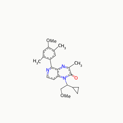 COCC(C1CC1)n1c(=O)c(C)nc2c(-c3cc(C)c(OC)cc3C)nccc21